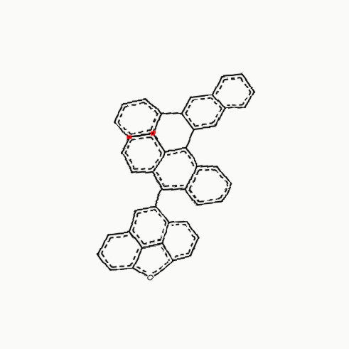 c1ccc(-c2cc3ccccc3cc2-c2c3ccccc3c(-c3cc4cccc5oc6cccc3c6c45)c3ccccc23)cc1